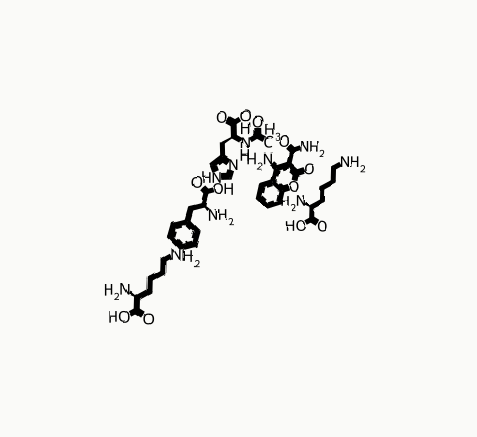 CC(=O)N[C@@H](Cc1c[nH]cn1)C(=O)O.NC(=O)c1c(N)c2ccccc2oc1=O.NCCCC[C@H](N)C(=O)O.NCCCC[C@H](N)C(=O)O.N[C@@H](Cc1ccccc1)C(=O)O